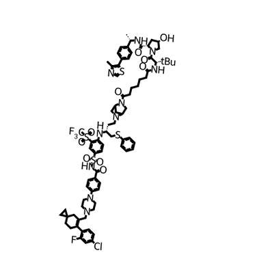 Cc1ncsc1-c1ccc([C@H](C)NC(=O)[C@@H]2C[C@@H](O)CN2C(=O)[C@@H](NC(=O)CCCCCC(=O)N2CC3CC2CN3CC[C@H](CSc2ccccc2)Nc2ccc(S(=O)(=O)NC(=O)c3ccc(N4CCN(CC5=C(c6ccc(Cl)cc6F)CCC6(CC6)C5)CC4)cc3)cc2S(=O)(=O)C(F)(F)F)C(C)(C)C)cc1